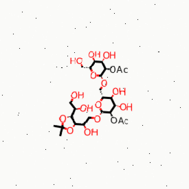 CC(=O)O[C@H]1[C@H](OC[C@H]2O[C@@H](OC[C@@H](O)[C@H]3OC(C)(C)O[C@@H]3[C@H](O)CO)[C@H](OC(C)=O)[C@@H](O)[C@@H]2O)O[C@H](CO)[C@@H](O)[C@@H]1O